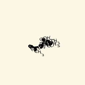 Cc1cc(COc2ccc(S(=O)(=O)NC[C@@H](C(=O)O)N3CCN(S(=O)(=O)C(C)C)CC3)cc2)c2ccccc2n1